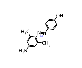 Cc1cc(N)cc(C)c1/N=N/c1ccc(O)cc1